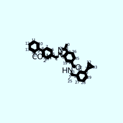 Cc1nn(Cc2ccc(-c3ccccc3C(=O)O)cc2)c2cc(C(=O)N[C@@H](C)c3cccc(C4CC4)c3)ccc12